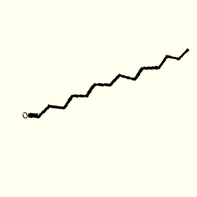 CCCCCCCCCCCCCC=O